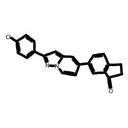 O=C1CCc2ccc(-c3ccn4nc(-c5ccc(Cl)cc5)cc4c3)cc21